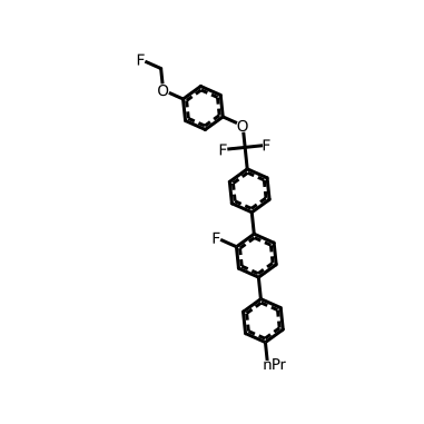 CCCc1ccc(-c2ccc(-c3ccc(C(F)(F)Oc4ccc(OCF)cc4)cc3)c(F)c2)cc1